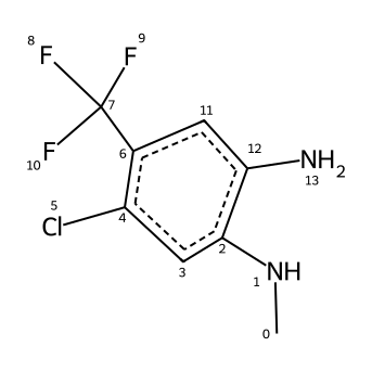 CNc1cc(Cl)c(C(F)(F)F)cc1N